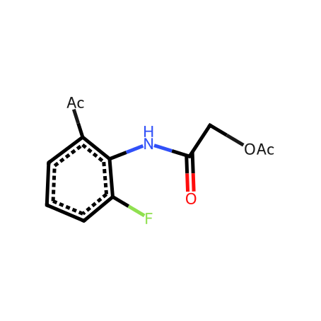 CC(=O)OCC(=O)Nc1c(F)cccc1C(C)=O